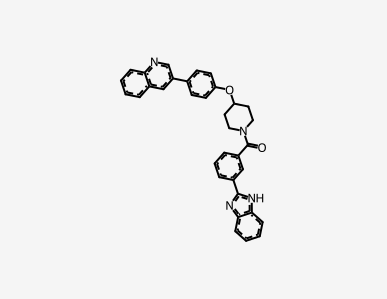 O=C(c1cccc(-c2nc3ccccc3[nH]2)c1)N1CCC(Oc2ccc(-c3cnc4ccccc4c3)cc2)CC1